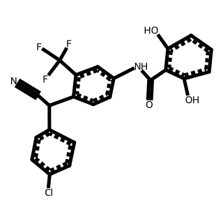 N#CC(c1ccc(Cl)cc1)c1ccc(NC(=O)c2c(O)cccc2O)cc1C(F)(F)F